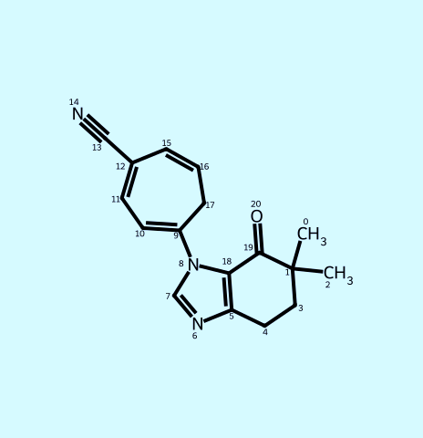 CC1(C)CCc2ncn(C3=CC=C(C#N)C=CC3)c2C1=O